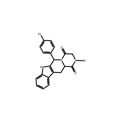 CCc1ccc(C2c3[nH]c4ccccc4c3CC3C(=O)N(C(C)C)CC(=O)N32)cc1